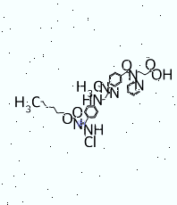 CCCCCCOC(=O)/N=C(/NCCl)c1ccc(NCc2nc3cc(C(=O)N(CCC(=O)O)c4ccccn4)ccc3n2C)cc1